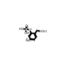 CCCCCCCCCc1ccccc1OP(=O)(O)O.[Nd]